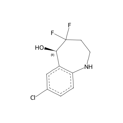 O[C@@H]1c2cc(Cl)ccc2NCCC1(F)F